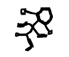 C=NC(=O)C(SC)(SC)c1c(Cl)cccc1Cl